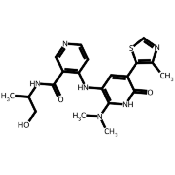 Cc1ncsc1-c1cc(Nc2ccncc2C(=O)NC(C)CO)c(N(C)C)[nH]c1=O